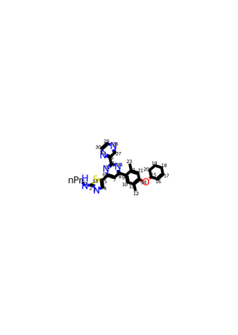 CCCNc1ncc(-c2cc(-c3cc(C)c(OC4C=CCCC4)cc3C)nc(-c3cnccn3)n2)s1